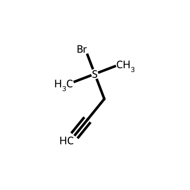 C#CCS(C)(C)Br